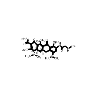 COc1c(NC(=O)CNC(C)(C)C)cc(N(C)C)c2c1C(=O)C1=C(OC(C)=O)[C@]3(OC(C)=O)C(=O)C(C(=O)NC(C)=O)=C(OC(C)=O)[C@@H](N(C)C)[C@@H]3C[C@@H]1C2